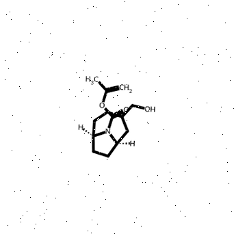 C=C(C)OC(=O)N1[C@@H]2CCC(CO)C[C@H]1CC2